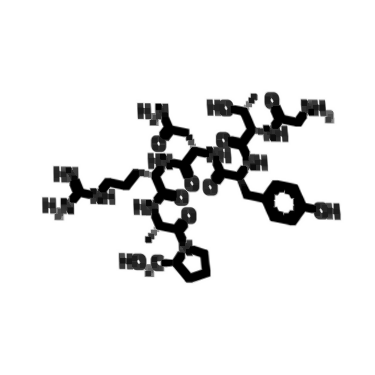 C[C@H](NC(=O)[C@H](CCCNC(=N)N)NC(=O)[C@H](CC(N)=O)NC(=O)[C@H](Cc1ccc(O)cc1)NC(=O)[C@@H](NC(=O)CN)[C@@H](C)O)C(=O)N1CCC[C@H]1C(=O)O